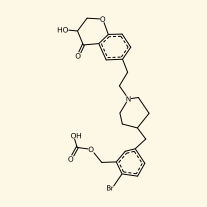 O=C(O)OCc1cc(CC2CCN(CCc3ccc4c(c3)C(=O)C(O)CO4)CC2)ccc1Br